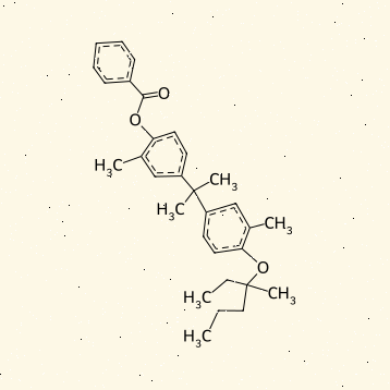 CCCC(C)(CC)Oc1ccc(C(C)(C)c2ccc(OC(=O)c3ccccc3)c(C)c2)cc1C